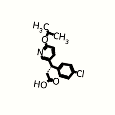 CC(C)Oc1ccc([C@@H](CC(=O)O)c2ccc(Cl)cc2)cn1